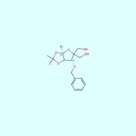 CC1(C)OC2[C@@H](O1)OC(CO)(CO)[C@@H]2OCc1ccccc1